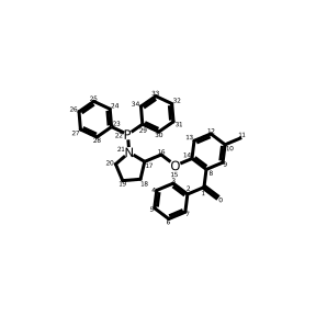 C=C(c1ccccc1)c1cc(C)ccc1OCC1CCCN1P(c1ccccc1)c1ccccc1